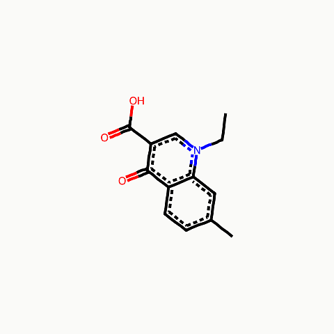 CCn1cc(C(=O)O)c(=O)c2ccc(C)cc21